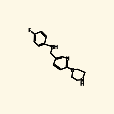 Fc1ccc(NCc2ccc(N3CCNCC3)nc2)cc1